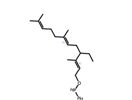 CCC(C/C=C(\C)CCC=C(C)C)/C(C)=C/COPP